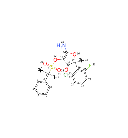 [2H]C([2H])(c1ccccc1)S(=O)(=O)OC1=C(N)O[C@@]([2H])(c2c(F)cccc2Cl)C1=O